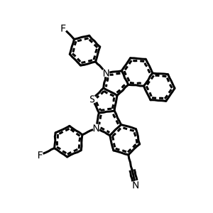 N#Cc1ccc2c3c4c5c6ccccc6ccc5n(-c5ccc(F)cc5)c4sc3n(-c3ccc(F)cc3)c2c1